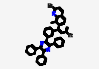 C=C(/C=C(/c1cccc(-c2nc(C3=CCCCC3)c(C3=CCCC=C3)nc2-c2ccccc2)c1)c1ccc2ccc(CC)nc2c1C)CC